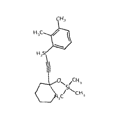 Cc1cccc([SiH2]C#CC2(O[Si](C)(C)C)CCCCC2)c1C